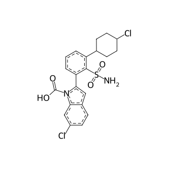 NS(=O)(=O)c1c(-c2cc3ccc(Cl)cc3n2C(=O)O)cccc1C1CCC(Cl)CC1